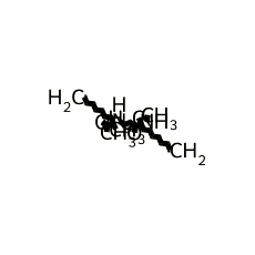 C=CCCCCCCC(C)(NCCC(=O)C(C)(CCCCCCC=C)NC)C(C)=O